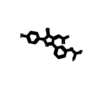 CNC=C1C(=O)N(c2ccc(F)cc2)N=C1c1cccc(OC(F)F)c1